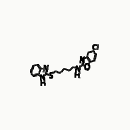 Clc1ccc2oc(NCCCCCSc3nc4ccccc4[nH]3)nc2c1